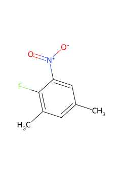 Cc1cc(C)c(F)c([N+](=O)[O-])c1